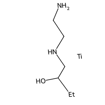 CCC(O)CNCCN.[Ti]